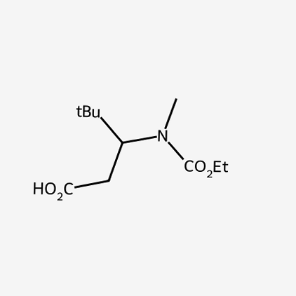 CCOC(=O)N(C)C(CC(=O)O)C(C)(C)C